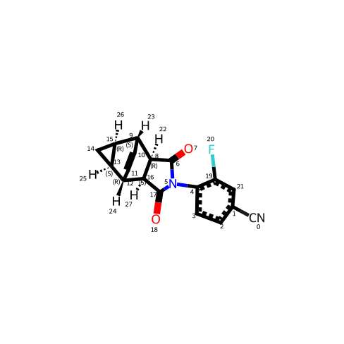 N#Cc1ccc(N2C(=O)[C@@H]3[C@@H]4C=C[C@@H]([C@H]5C[C@@H]45)[C@@H]3C2=O)c(F)c1